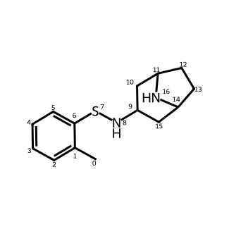 Cc1ccccc1SNC1CC2CCC(C1)N2